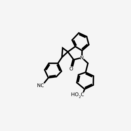 N#Cc1ccc(C2CC23C(=O)N(Cc2ccc(C(=O)O)cc2)c2ccccc23)cc1